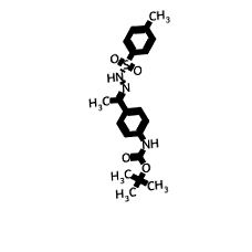 C/C(=N\NS(=O)(=O)c1ccc(C)cc1)c1ccc(NC(=O)OC(C)(C)C)cc1